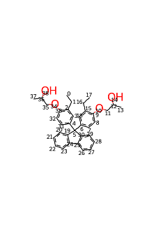 CCc1cc(C2(c3ccc(OCC(C)O)c(CC)c3)c3ccccc3-c3ccccc32)ccc1OCC(C)O